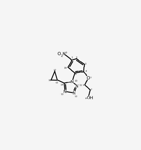 O=[N+]([O-])c1ccc(OCCO)c(-n2nnnc2C2CC2)c1